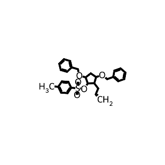 C=CCC1C(OCc2ccccc2)CC(OCc2ccccc2)C1OS(=O)(=O)c1ccc(C)cc1